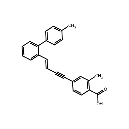 Cc1ccc(-c2ccccc2/C=C/C#Cc2ccc(C(=O)O)c(C)c2)cc1